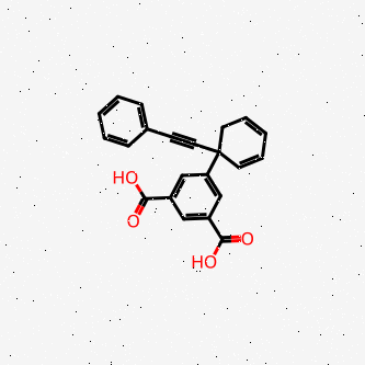 O=C(O)c1cc(C(=O)O)cc(C2(C#Cc3ccccc3)C=CC=CC2)c1